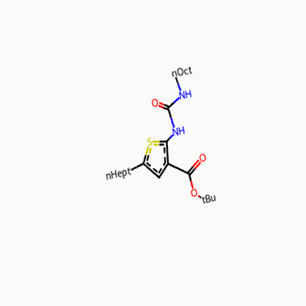 CCCCCCCCNC(=O)Nc1sc(CCCCCCC)cc1C(=O)OC(C)(C)C